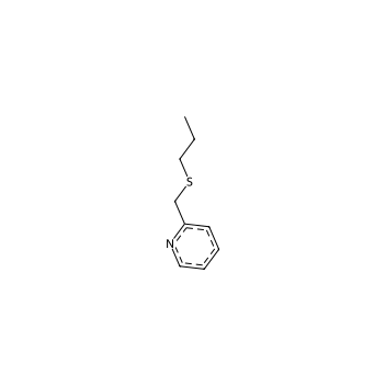 CCCSCc1ccccn1